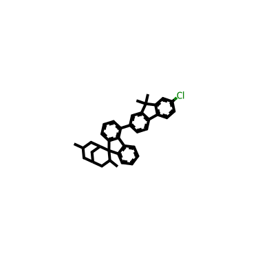 CC1CC2CC(C)C3(c4ccccc4-c4c(-c5ccc6c(c5)C(C)(C)c5cc(Cl)ccc5-6)cccc43)C(C1)C2